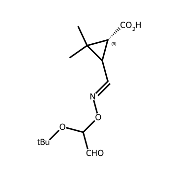 CC(C)(C)OC(C=O)ON=CC1[C@@H](C(=O)O)C1(C)C